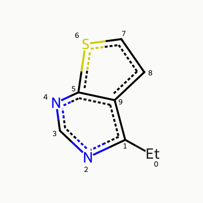 CCc1ncnc2sccc12